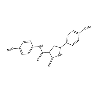 COc1ccc(NC(=O)C2CC(c3ccc(OC)cc3)NC2=O)cc1